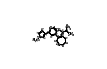 CC(C)[SiH](C)C1=C(c2ccnc(-c3cn(C)cn3)c2)N=NCCC1